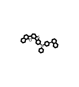 c1ccc(N(c2ccc(-c3cccc4ccccc34)cc2)c2ccc3c(c2)sc2ccc4c5ccc6ccccc6c5oc4c23)cc1